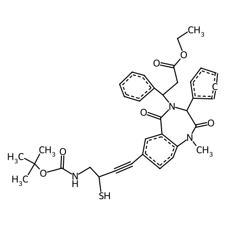 CCOC(=O)CC(c1ccccc1)N1C(=O)c2cc(C#CC(S)CNC(=O)OC(C)(C)C)ccc2N(C)C(=O)C1c1ccccc1